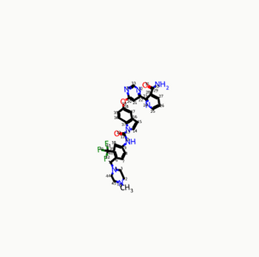 CN1CCN(Cc2ccc(NC(=O)n3ccc4cc(Oc5cc(-c6ncccc6C(N)=O)ncn5)ccc43)cc2C(F)(F)F)CC1